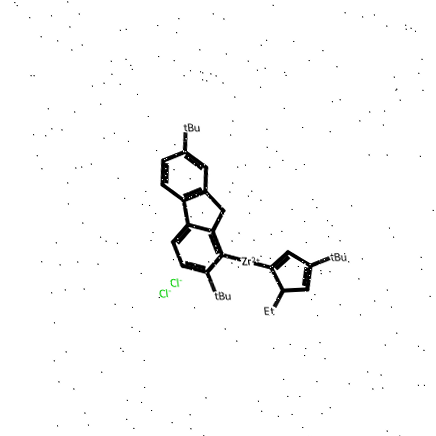 CCC1C=C(C(C)(C)C)C=[C]1[Zr+2][c]1c(C(C)(C)C)ccc2c1Cc1cc(C(C)(C)C)ccc1-2.[Cl-].[Cl-]